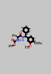 CCOc1cc(C(NC(=O)[C@@H](NC(=O)OC(C)C)C(C)C)c2ccccc2)ccc1OC